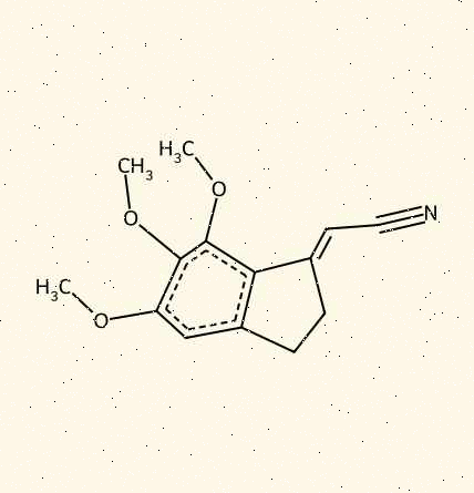 COc1cc2c(c(OC)c1OC)/C(=C/C#N)CC2